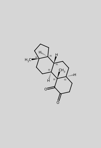 C[C@@]12CCC[C@H]1[C@@H]1CC[C@H]3CCC(=O)C(=O)[C@]3(C)[C@H]1CC2